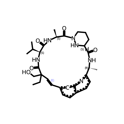 CCC1(CO)/C=C/c2ccc3ccc(nc3c2)[C@@H](C)NC(=O)[C@@H]2CCCN(N2)C(=O)[C@H](C)NC(=O)[C@H](C(C)C)NC1=O